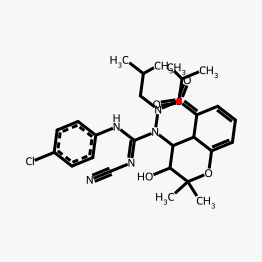 CC(C)CN(CC(C)C)N(C(=NC#N)Nc1ccc(Cl)cc1)C1C2C(=CC=CC2=S(=O)=O)OC(C)(C)C1O